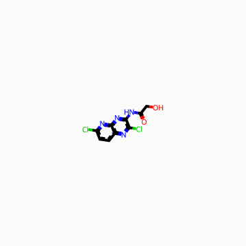 O=C(CO)Nc1nc2nc(Cl)ccc2nc1Cl